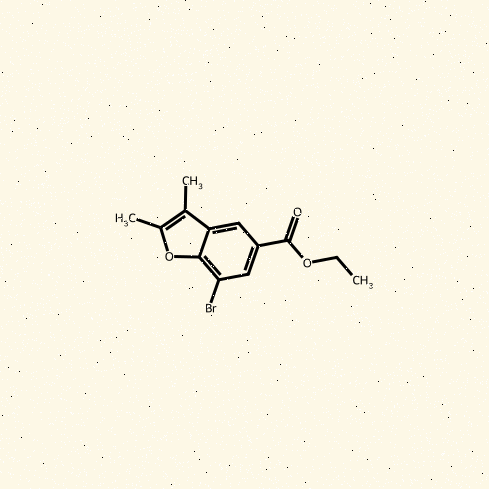 CCOC(=O)c1cc(Br)c2oc(C)c(C)c2c1